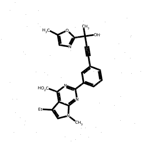 CCc1cn(C)c2nc(-c3cccc(C#CC(C)(O)c4ncc(C)o4)c3)nc(C(=O)O)c12